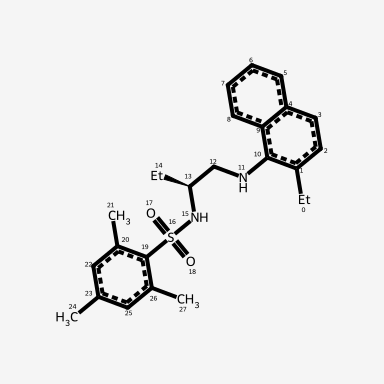 CCc1ccc2ccccc2c1NC[C@H](CC)NS(=O)(=O)c1c(C)cc(C)cc1C